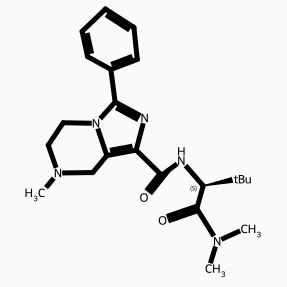 CN1CCn2c(-c3ccccc3)nc(C(=O)N[C@H](C(=O)N(C)C)C(C)(C)C)c2C1